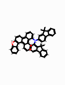 CC1(C)c2ccccc2-c2ccc(N(c3cccc4c3C(C)(C)c3ccccc3-4)c3cccc4c5ccc6oc7ccccc7c6c5c5ccccc5c34)cc21